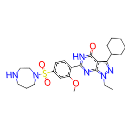 CCn1nc(C2CCCCC2)c2c(=O)[nH]c(-c3ccc(S(=O)(=O)N4CCCNCC4)cc3OC)nc21